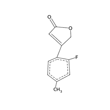 Cc1ccc(C2=CC(=O)OC2)c(F)c1